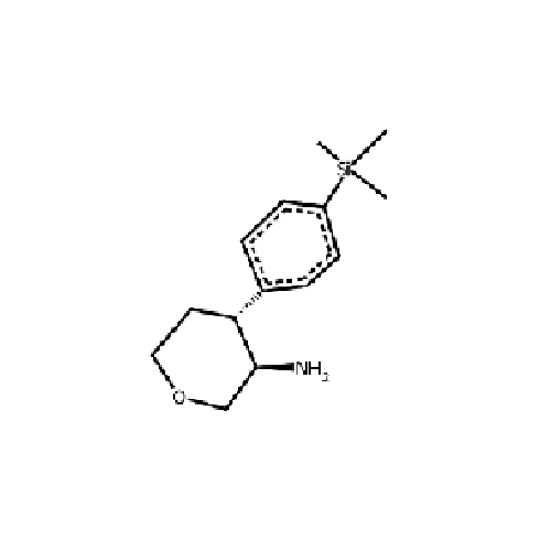 C[Si](C)(C)c1ccc([C@H]2CCOC[C@@H]2N)cc1